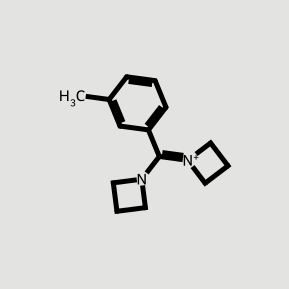 Cc1cccc(C(N2CCC2)=[N+]2CCC2)c1